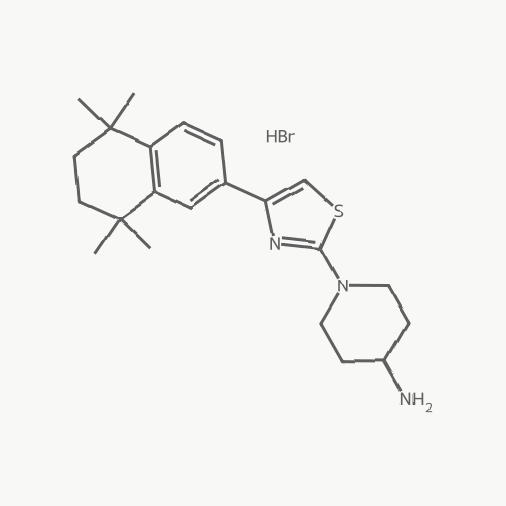 Br.CC1(C)CCC(C)(C)c2cc(-c3csc(N4CCC(N)CC4)n3)ccc21